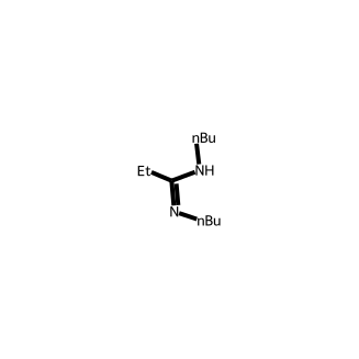 CCCCN=C(CC)NCCCC